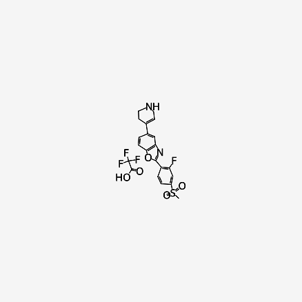 CS(=O)(=O)c1ccc(-c2nc3cc(C4=CCNCC4)ccc3o2)c(F)c1.O=C(O)C(F)(F)F